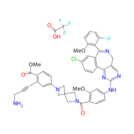 COC(=O)c1ccc(N2CC3(CN(C(=O)c4ccc(Nc5ncc6c(n5)-c5ccc(Cl)cc5C(c5c(F)cccc5OC)=NC6)cc4OC)C3)C2)cc1C#CCN.O=C(O)C(F)(F)F